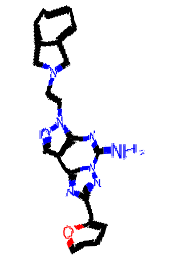 Nc1nc2c(cnn2CCN2Cc3ccccc3C2)c2nc(-c3ccco3)nn12